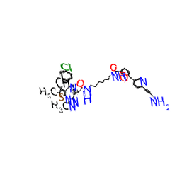 Cc1sc2c(c1C)C(c1ccc(Cl)cc1)=N[C@@H](CC(=O)NCCCCCCCNC(=O)c1ccc(-c3ccc(C#CCN)nc3)o1)c1nnc(C)n1-2